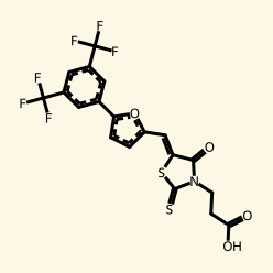 O=C(O)CCN1C(=O)C(=Cc2ccc(-c3cc(C(F)(F)F)cc(C(F)(F)F)c3)o2)SC1=S